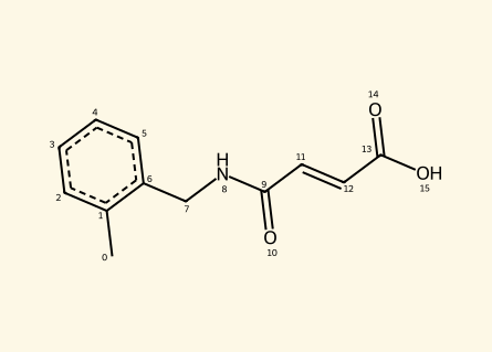 Cc1ccccc1CNC(=O)C=CC(=O)O